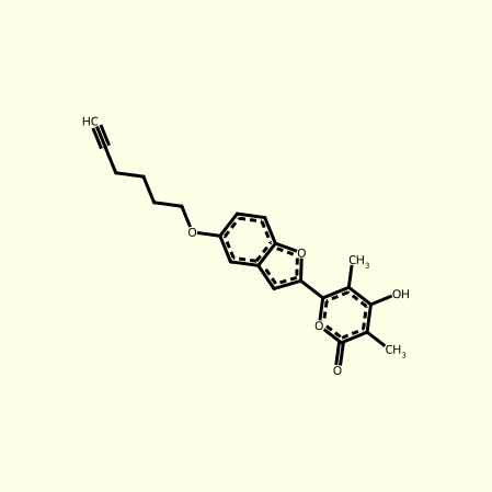 C#CCCCCOc1ccc2oc(-c3oc(=O)c(C)c(O)c3C)cc2c1